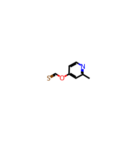 Cc1cc(OC=S)ccn1